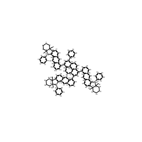 CC12CCCCC1(C)N(c1ccccc1)c1c2ccc2cc3c(-c4cc(-c5ccccc5)c5ccc6c(-c7cccc8cc9c%10c(ccc9cc78)C7(C)CCCCC7(C)N%10c7ccccc7)cc(-c7cccc8cc9c%10c(ccc9cc78)C7(C)CCCCC7(C)N%10c7ccccc7)c7ccc4c5c67)cccc3cc12